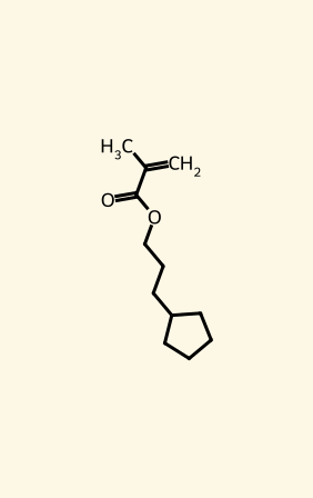 C=C(C)C(=O)OCCCC1CCCC1